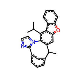 CC(C)c1c2c(cc3oc4ccccc4c13)C(C)c1cccc(c1)-c1nccn1-2